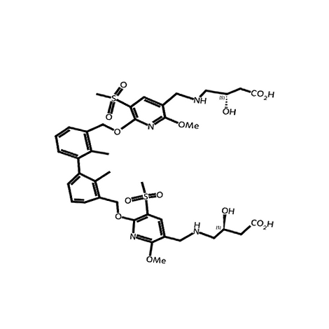 COc1nc(OCc2cccc(-c3cccc(COc4nc(OC)c(CNC[C@@H](O)CC(=O)O)cc4S(C)(=O)=O)c3C)c2C)c(S(C)(=O)=O)cc1CNC[C@@H](O)CC(=O)O